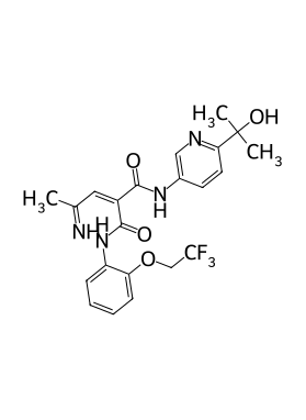 CC(=N)/C=C(/C(=O)Nc1ccc(C(C)(C)O)nc1)C(=O)Nc1ccccc1OCC(F)(F)F